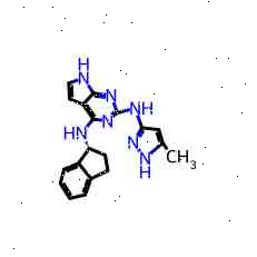 Cc1cc(Nc2nc(N[C@@H]3CCc4ccccc43)c3cc[nH]c3n2)n[nH]1